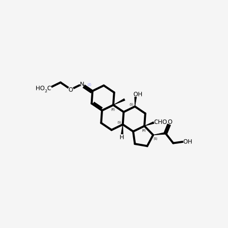 C[C@]12CC/C(=N/OCC(=O)O)C=C1CC[C@@H]1C2[C@@H](O)C[C@@]2(C=O)C1CC[C@@H]2C(=O)CO